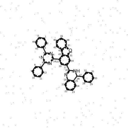 c1ccc(-c2nc(-c3ccccc3)nc(-c3cc(C4=Nc5ccccc5C(c5ccccc5)N4)cc4oc5ccccc5c34)n2)cc1